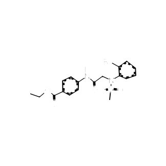 CCOC(=O)c1ccc(NC(=O)CN(c2ccccc2Br)S(C)(=O)=O)cc1